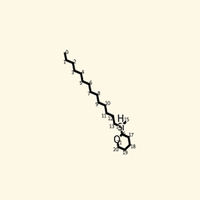 CCCCCCCCCCCCCC[SiH](C)C1CCCCO1